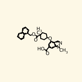 Cn1ncc2c(OC3CCC(C)(C(=O)OCc4cccc5ccccc45)CC3)cc(C(=O)O)cc21